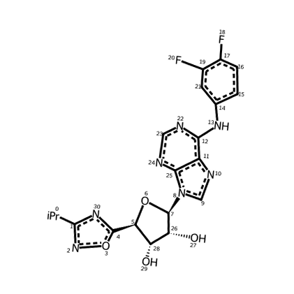 CC(C)c1noc([C@H]2O[C@@H](n3cnc4c(Nc5ccc(F)c(F)c5)ncnc43)[C@H](O)[C@@H]2O)n1